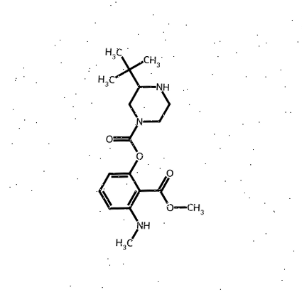 CNc1cccc(OC(=O)N2CCNC(C(C)(C)C)C2)c1C(=O)OC